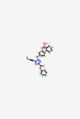 CCC#Cc1nc(C(=O)Cc2ccccc2)nn1Cc1ccc(-c2ccccc2C(=O)O)cc1